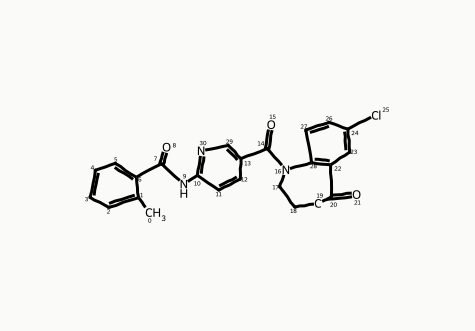 Cc1ccccc1C(=O)Nc1ccc(C(=O)N2CCCC(=O)c3cc(Cl)ccc32)cn1